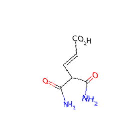 NC(=O)C(C=CC(=O)O)C(N)=O